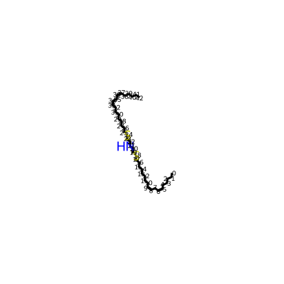 CCCCC/C=C\C/C=C\CCCCCCCCSCCNCCSCCCCCCCC/C=C\C/C=C\CCCCC